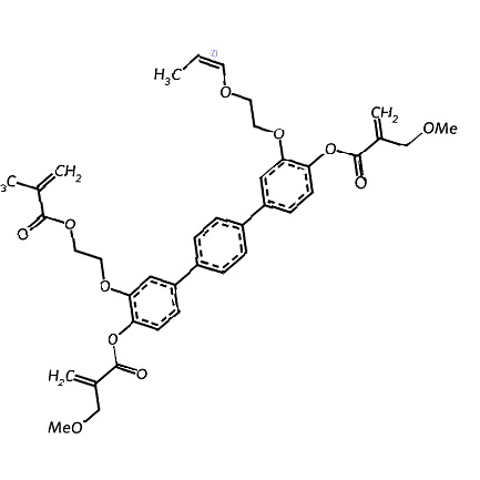 C=C(C)C(=O)OCCOc1cc(-c2ccc(-c3ccc(OC(=O)C(=C)COC)c(OCCO/C=C\C)c3)cc2)ccc1OC(=O)C(=C)COC